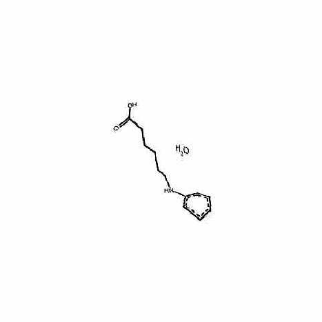 O.O=C(O)CCCCCNc1ccccc1